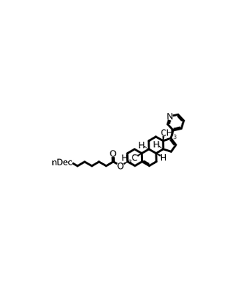 CCCCCCCCCCCCCCCC(=O)O[C@H]1CC[C@@]2(C)C(=CC[C@@H]3[C@@H]2CC[C@]2(C)C(c4cccnc4)=CC[C@@H]32)C1